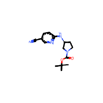 CC(C)(C)OC(=O)N1CC[C@H](Nc2ccc(C#N)cn2)C1